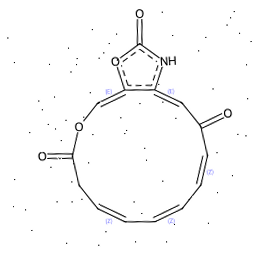 O=C1\C=C/C=C\C=C/CC(=O)O/C=c2/oc(=O)[nH]/c2=C/1